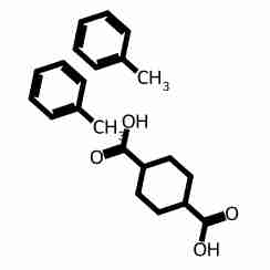 Cc1ccccc1.Cc1ccccc1.O=C(O)C1CCC(C(=O)O)CC1